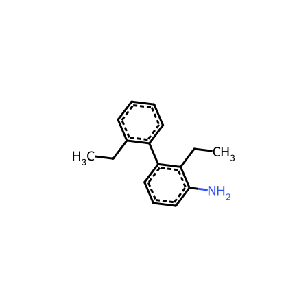 CCc1ccccc1-c1cccc(N)c1CC